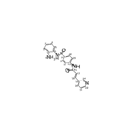 Nc1ccccc1NC(=O)c1ccc(NC(=O)C=Cc2cccnc2)cc1